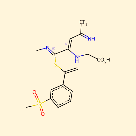 C=C(SC(=N\C)/C(=C/C(=N)C(F)(F)F)NCC(=O)O)c1cccc(S(C)(=O)=O)c1